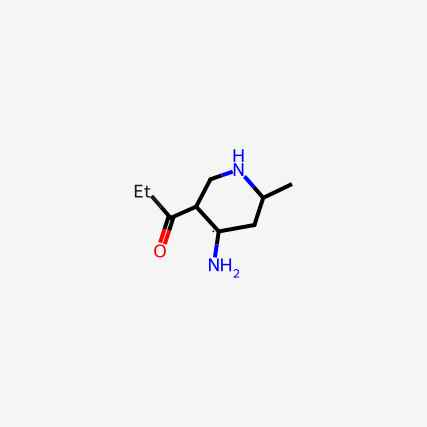 CCC(=O)C1CNC(C)C[C]1N